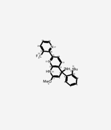 COC1=CC(N)(c2ccccc2C(C)(C)C)c2ccc(-c3ncccc3C(F)(F)F)nc2N1